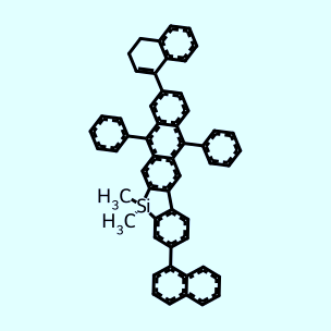 C[Si]1(C)c2cc(-c3cccc4ccccc34)ccc2-c2cc3c(-c4ccccc4)c4ccc(C5=CCCc6ccccc65)cc4c(-c4ccccc4)c3cc21